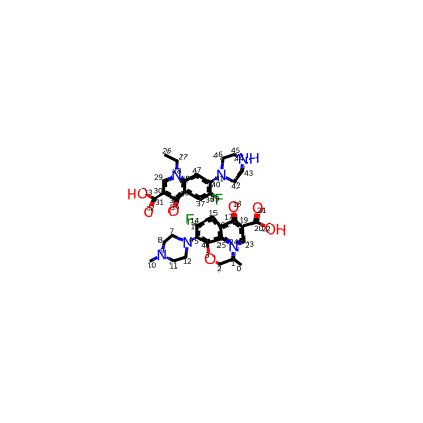 CC1COc2c(N3CCN(C)CC3)c(F)cc3c(=O)c(C(=O)O)cn1c23.CCn1cc(C(=O)O)c(=O)c2cc(F)c(N3CCNCC3)cc21